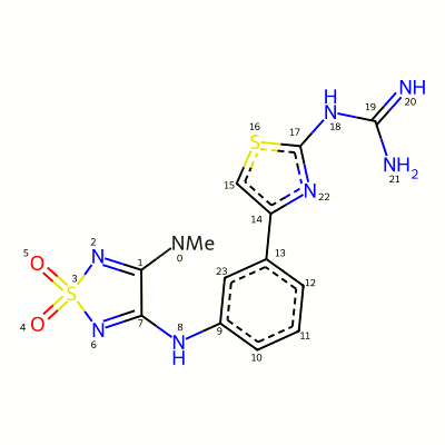 CNC1=NS(=O)(=O)N=C1Nc1cccc(-c2csc(NC(=N)N)n2)c1